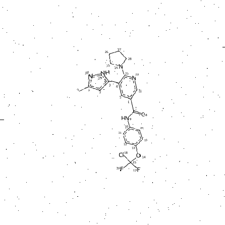 Cc1cc(-c2cc(C(=O)Nc3ccc(OC(F)(F)Cl)cc3)cnc2N2CCCC2)[nH]n1